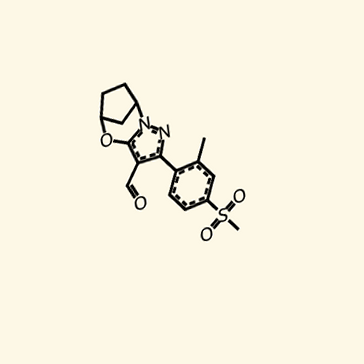 Cc1cc(S(C)(=O)=O)ccc1-c1nn2c(c1C=O)OC1CCC2C1